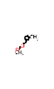 COCCOCCc1cccc(C)c1